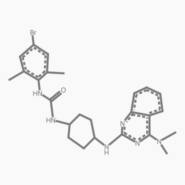 Cc1cc(Br)cc(C)c1NC(=O)NC1CCC(Nc2nc(N(C)C)c3ccccc3n2)CC1